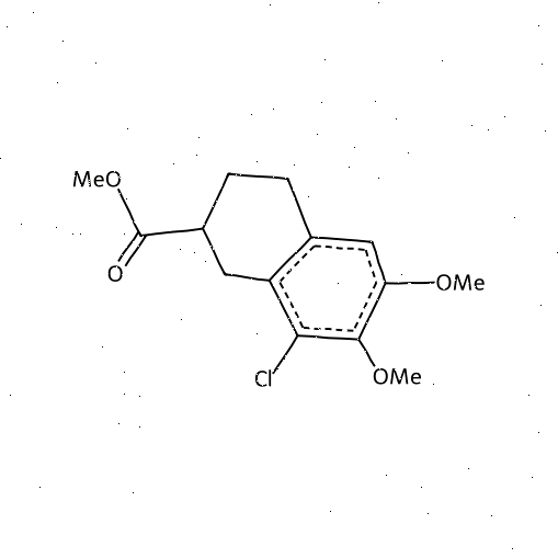 COC(=O)C1CCc2cc(OC)c(OC)c(Cl)c2C1